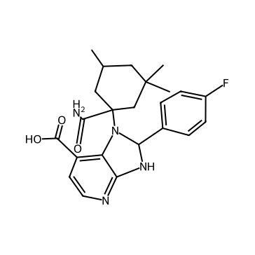 CC1CC(C)(C)CC(C(N)=O)(N2c3c(C(=O)O)ccnc3NC2c2ccc(F)cc2)C1